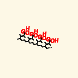 [CH2]CC(CCCC(CCCC(CCCC(C)C(C)=C(C)C(=O)O)C(C)=C(C)C(=O)O)C(C)=C(C)C(=O)O)C(C)=C(C)C(=O)O